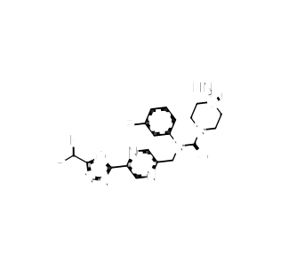 N=S1(=O)CCN(C(=O)N(Cc2cnc(-c3nnc(C(F)F)o3)cn2)c2cccc(F)c2)CC1